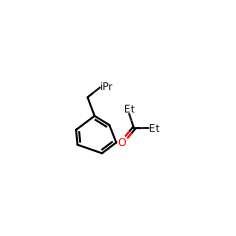 CC(C)Cc1ccccc1.CCC(=O)CC